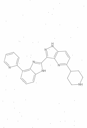 c1ccc(-c2cccc3[nH]c(-c4n[nH]c5ccc(C6CCNCC6)nc45)nc23)nc1